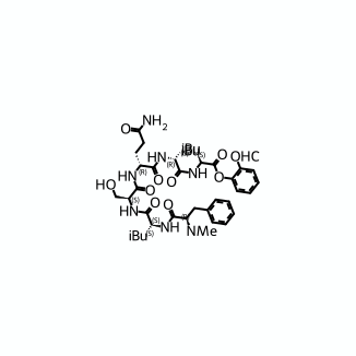 CC[C@H](C)C(NC(=O)[C@H](NC(=O)[C@@H](CCC(N)=O)NC(=O)[C@H](CO)NC(=O)[C@@H](NC(=O)[C@@H](Cc1ccccc1)NC)[C@@H](C)CC)[C@@H](C)CC)C(=O)Oc1ccccc1C=O